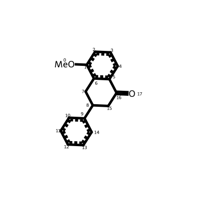 COc1cccc2c1CC(c1ccccc1)CC2=O